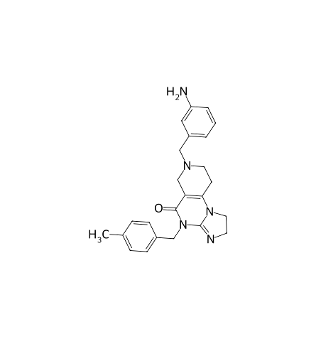 Cc1ccc(CN2C(=O)C3=C(CCN(Cc4cccc(N)c4)C3)N3CCN=C23)cc1